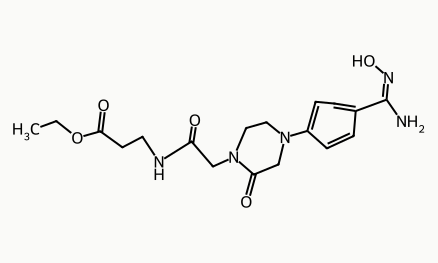 CCOC(=O)CCNC(=O)CN1CCN(c2ccc(/C(N)=N\O)cc2)CC1=O